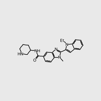 CCn1c(-c2nc3cc(C(=O)NC4CCCNC4)ccc3n2C)cc2ccccc21